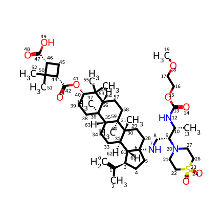 C=C(C)[C@@H]1CC[C@]2(NC[C@H]([C@@H](C)NC(=O)OCCOC)N3CCS(=O)(=O)CC3)CC[C@]3(C)[C@H](CC[C@@H]4[C@@]5(C)CC[C@H](OC(=O)[C@H]6C[C@@H](C(=O)O)C6(C)C)C(C)(C)[C@@H]5CC[C@]43C)[C@@H]12